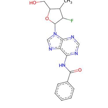 CC1C(CO)OC(n2cnc3c(NC(=O)c4ccccc4)ncnc32)C1F